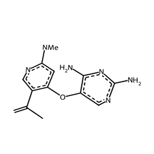 C=C(C)c1cnc(NC)cc1Oc1cnc(N)nc1N